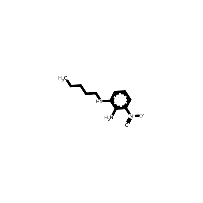 CCCCCNc1cccc([N+](=O)[O-])c1N